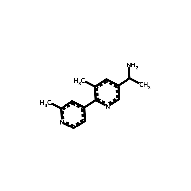 Cc1cc(-c2ncc(C(C)N)cc2C)ccn1